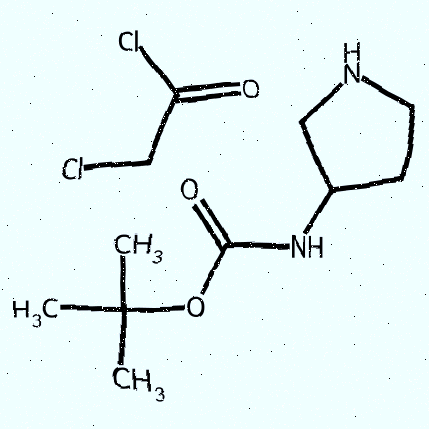 CC(C)(C)OC(=O)NC1CCNC1.O=C(Cl)CCl